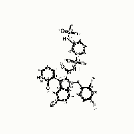 CS(=O)(=O)Nc1cccc(S(=O)(=O)NC(=O)c2c(-c3ccc[nH]c3=O)c3cc(Br)ccc3n2Cc2ccc(F)cc2F)c1